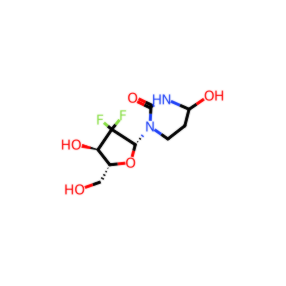 O=C1NC(O)CCN1[C@@H]1O[C@H](CO)[C@@H](O)C1(F)F